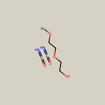 CCOCCOCCO.N=C=O.N=C=O